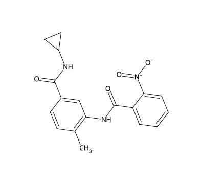 Cc1ccc(C(=O)NC2CC2)cc1NC(=O)c1ccccc1[N+](=O)[O-]